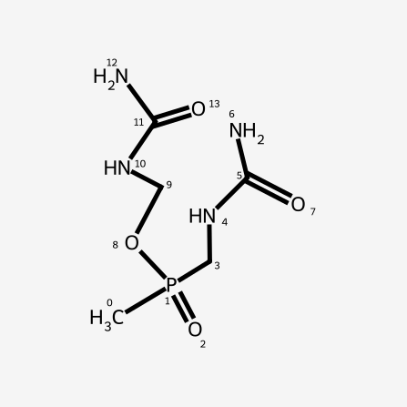 CP(=O)(CNC(N)=O)OCNC(N)=O